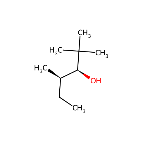 CC[C@@H](C)[C@H](O)C(C)(C)C